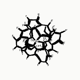 CCc1c(F)c(F)c(F)c2c(F)c(F)c(F)[c]([Al-]([c]3c(F)c(F)c(F)c4c(F)c(F)c(F)c(CC)c34)([c]3c(F)c(F)c(F)c4c(F)c(F)c(F)c(CC)c34)[c]3c(F)c(F)c(F)c4c(F)c(F)c(F)c(CC)c34)c12